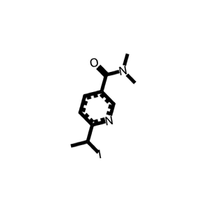 CC(I)c1ccc(C(=O)N(C)C)cn1